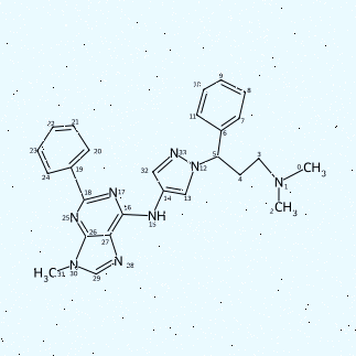 CN(C)CCC(c1ccccc1)n1cc(Nc2nc(-c3ccccc3)nc3c2ncn3C)cn1